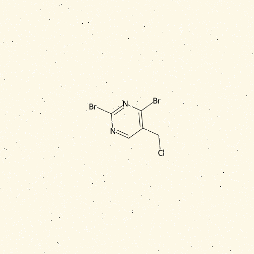 ClCc1cnc(Br)nc1Br